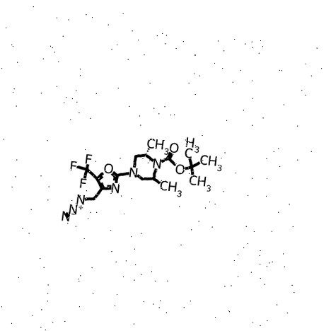 CC1CN(c2nc(CN=[N+]=[N-])c(C(F)(F)F)o2)C[C@H](C)N1C(=O)OC(C)(C)C